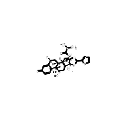 CN(C)C(=O)SC(=O)[C@@]12OC(c3cccs3)O[C@@H]1C[C@H]1[C@@H]3C[C@H](F)C4=CC(=O)C=C[C@]4(C)[C@@]3(F)[C@@H](O)C[C@@]12C